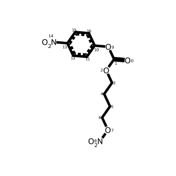 O=C(OCCCCO[N+](=O)[O-])Oc1ccc([N+](=O)[O-])cc1